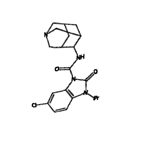 CC(C)n1c(=O)n(C(=O)NC2C3CC4CC2CN(C4)C3)c2cc(Cl)ccc21